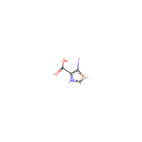 O=C(O)c1ncsc1I